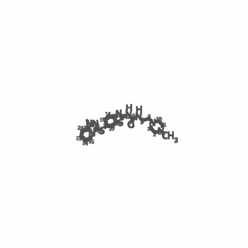 CN1CCN(CCNC(=O)Nc2nc3ccc(Sc4nnc5ccccn45)cc3s2)CC1